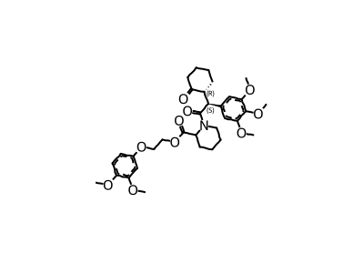 COc1ccc(OCCOC(=O)C2CCCCN2C(=O)[C@H](c2cc(OC)c(OC)c(OC)c2)[C@H]2CCCCC2=O)cc1OC